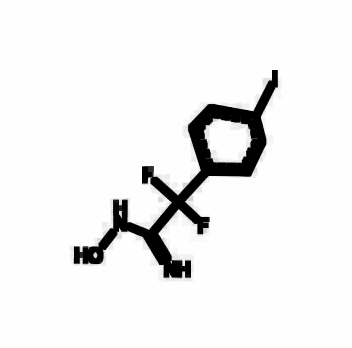 N=C(NO)C(F)(F)c1ccc(I)cc1